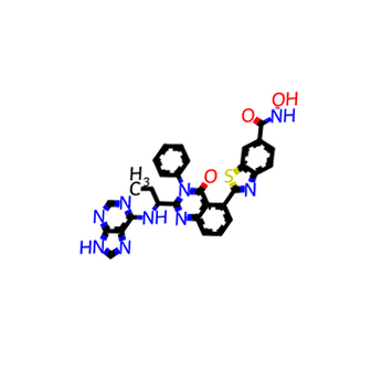 CCC(Nc1ncnc2[nH]cnc12)c1nc2cccc(-c3nc4ccc(C(=O)NO)cc4s3)c2c(=O)n1-c1ccccc1